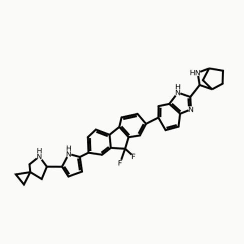 FC1(F)c2cc(-c3ccc4nc(C5NC6CCC5C6)[nH]c4c3)ccc2-c2ccc(-c3ccc(C4CC5(CC5)CN4)[nH]3)cc21